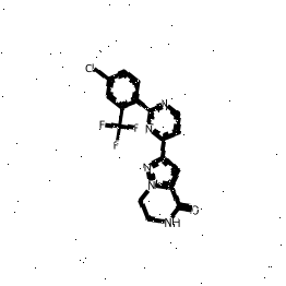 O=C1NCCn2nc(-c3ccnc(-c4ccc(Cl)cc4C(F)(F)F)n3)cc21